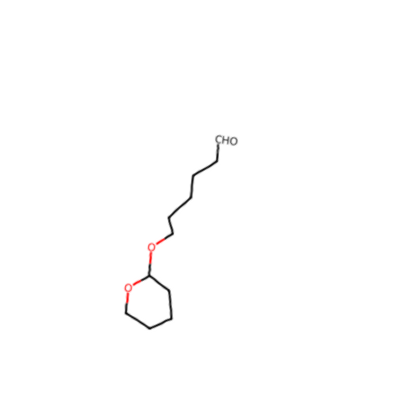 O=CCCCCCOC1CCCCO1